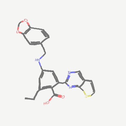 CCc1cc(NCc2ccc3c(c2)OCO3)cc(-c2ncc3ccsc3n2)c1C(=O)O